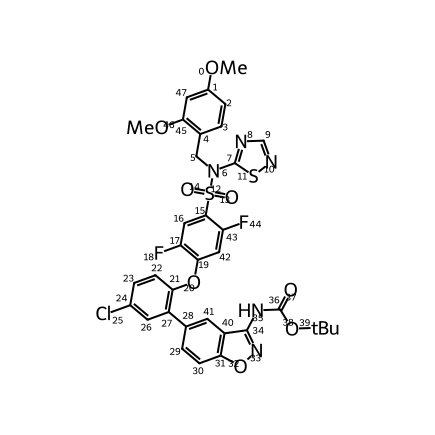 COc1ccc(CN(c2ncns2)S(=O)(=O)c2cc(F)c(Oc3ccc(Cl)cc3-c3ccc4onc(NC(=O)OC(C)(C)C)c4c3)cc2F)c(OC)c1